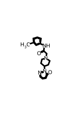 Cc1cccc(NC(=O)CN2CCC(n3ncccc3=O)CC2)c1